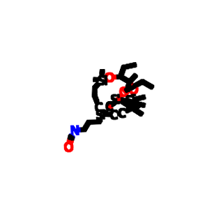 CCC1O[Si](C)(C)CCC[Si]2(CCCN=C=O)CCC[Si](C)(C)OC(CC)C1(C)O[Si](C)(C)CCC2